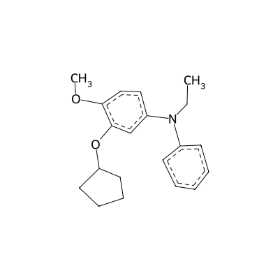 CCN(c1ccccc1)c1ccc(OC)c(OC2CCCC2)c1